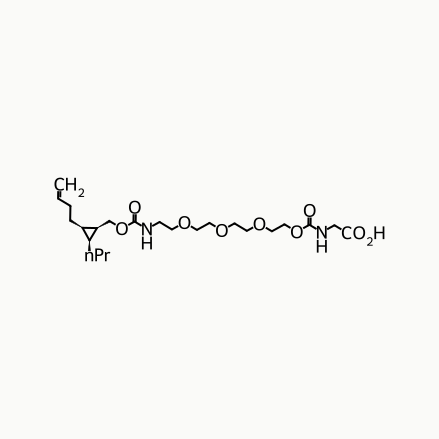 C=CCC[C@@H]1[C@H](CCC)[C@@H]1COC(=O)NCCOCCOCCOCCOC(=O)NCC(=O)O